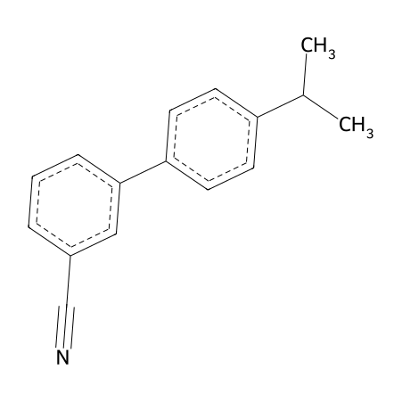 CC(C)c1ccc(-c2cccc(C#N)c2)cc1